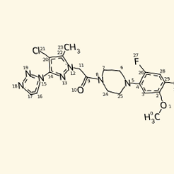 COc1cc(N2CCN(C(=O)Cn3nc(-n4ccnn4)c(Cl)c3C)CC2)c(F)cc1Cl